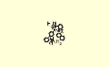 NC(=O)c1cccc(Oc2cccc3ccccc23)c1NC(=O)c1ccc(-c2ccccc2S(N)(=O)=O)cc1